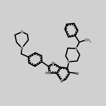 CC(c1ccccc1)N1CCN(c2c(Br)cnc3[nH]c(-c4ccc(CN5CCOCC5)cc4)nc23)CC1